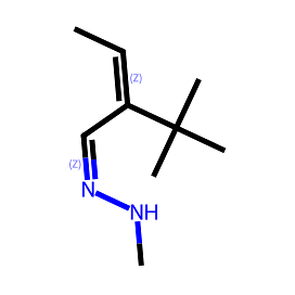 C/C=C(\C=N/NC)C(C)(C)C